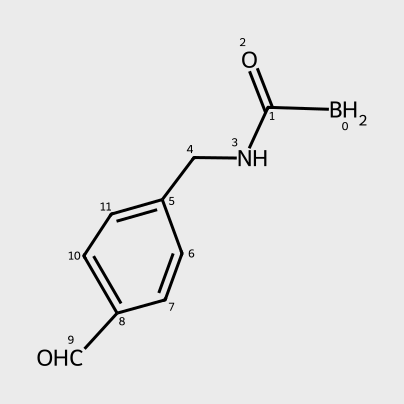 BC(=O)NCc1ccc(C=O)cc1